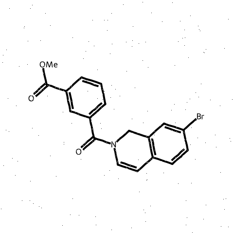 COC(=O)c1cccc(C(=O)N2C=Cc3ccc(Br)cc3C2)c1